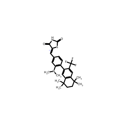 CN(C)c1cc(/C=C2\SC(=O)NC2=O)ccc1-c1cc2c(cc1C(F)(F)F)C(C)(C)CCC2(C)C